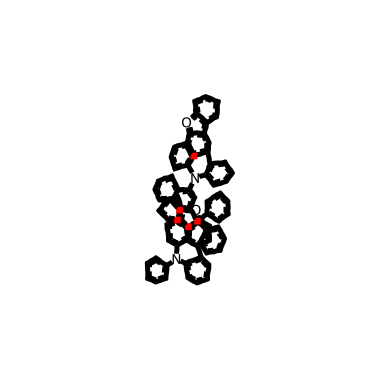 c1ccc(N(c2ccc3c(c2)C(c2ccccc2)(c2ccccc2)c2cc(N(c4ccccc4)c4ccccc4-c4ccc5oc6ccccc6c5c4)c4ccccc4c2-3)c2ccccc2-c2ccc3oc4ccccc4c3c2)cc1